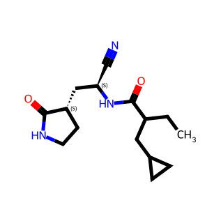 CCC(CC1CC1)C(=O)N[C@H](C#N)C[C@@H]1CCNC1=O